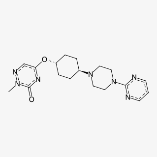 Cn1ncc(O[C@H]2CC[C@H](N3CCN(c4ncccn4)CC3)CC2)nc1=O